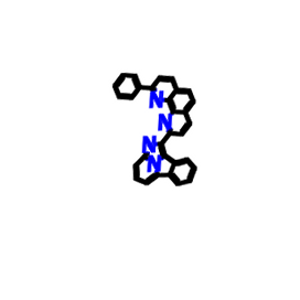 c1ccc(-c2ccc3ccc4ccc(-c5nc6cccc7c8ccccc8c5n67)nc4c3n2)cc1